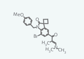 COc1ccc(CN2C(=O)C3(CCC3)c3cc(C(=O)/C(C)=C/N(C)C)cc(Br)c32)cc1